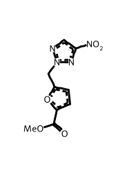 COC(=O)c1ccc(Cn2ncc([N+](=O)[O-])n2)o1